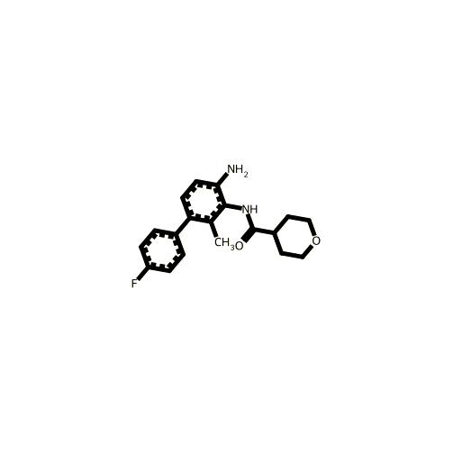 Cc1c(-c2ccc(F)cc2)ccc(N)c1NC(=O)C1CCOCC1